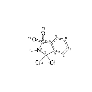 CN1C(Cl)(Cl)c2ccccc2S1(=O)=O